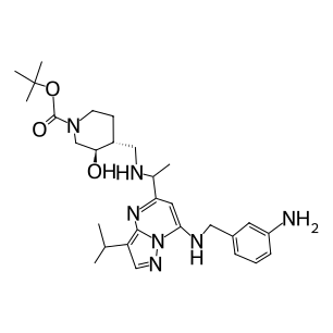 CC(C)c1cnn2c(NCc3cccc(N)c3)cc(C(C)NC[C@H]3CCN(C(=O)OC(C)(C)C)C[C@@H]3O)nc12